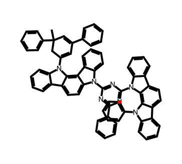 CC1(c2ccccc2)C=C(c2ccccc2)C=C(n2c3ccccc3c3ccc4c(c5ccccc5n4-c4nc(-c5ccccc5)nc(-n5c6ccccc6c6ccc7c8ccccc8n(-c8ccccc8)c7c65)n4)c32)C1